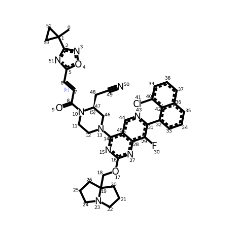 CC1(c2noc(/C=C/C(=O)N3CCN(c4nc(OCC56CCCN5CCC6)nc5c(F)c(-c6cccc7cccc(Cl)c67)ncc45)C[C@@H]3CC#N)n2)CC1